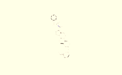 CC[C@H]1OC(OC2CC[C@@]3(C)C(=CCC4C3CC[C@@]3(C)C4CC[C@@H]3/C(C)=N/Oc3ccccc3Cl)C2)C=C[C@@H]1C